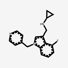 Fc1cccc2c1c(CNC1CC1)cn2Cc1ccncc1